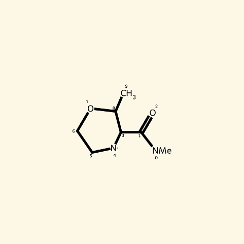 CNC(=O)C1[N]CCOC1C